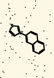 c1ccc2cc(-[n+]3ccsc3)ccc2c1